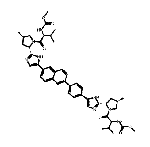 COC(=O)N[C@H](C(=O)N1C[C@H](C)C[C@H]1c1ncc(-c2ccc(-c3ccc4cc(-c5cnc([C@@H]6C[C@@H](C)CN6C(=O)[C@@H](NC(=O)OC)C(C)C)[nH]5)ccc4c3)cc2)[nH]1)C(C)C